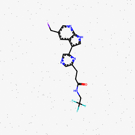 O=C(CCc1cncc(-c2c[nH]c3ncc(CI)cc23)n1)NCC(F)(F)F